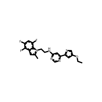 CCOc1csc(-c2cc(NCCn3c(C)cc4c(F)c(F)cc(F)c43)ncn2)c1